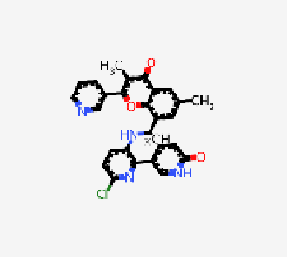 Cc1cc([C@@H](C)Nc2ccc(Cl)nc2-c2ccc(=O)[nH]c2)c2oc(-c3cccnc3)c(C)c(=O)c2c1